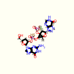 Nc1nc2c(ncn2[C@@H]2O[C@H](CO)C[C@H]2OP(=O)(S)OC2[C@H]3O[C@@H](n4nnc5c(=O)[nH]cnc54)[C@@H](F)[C@@]23O[PH](=O)S)c(=O)[nH]1